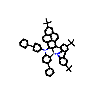 CC(C)(C)c1cc2ccc3c4c5c(c6ccc(c1)c2c36)N(c1ccc(-c2ccccc2)cc1)c1ccc(-c2ccccc2)cc1B5n1c2ccc(C(C)(C)C)cc2c2cc(C(C)(C)C)cc-4c21